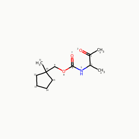 CC(=O)C(C)NC(=O)OCC1(C)CCCC1